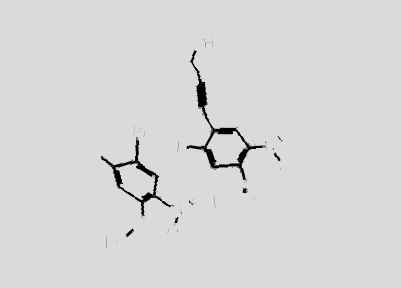 COc1cc(F)c(Br)cc1[N+](=O)[O-].COc1cc(F)c(C#CCO)cc1[N+](=O)[O-]